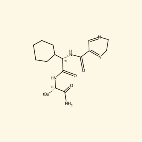 CC(C)(C)[C@H](NC(=O)[C@@H](NC(=O)C1=NCCN=C1)C1CCCCC1)C(N)=O